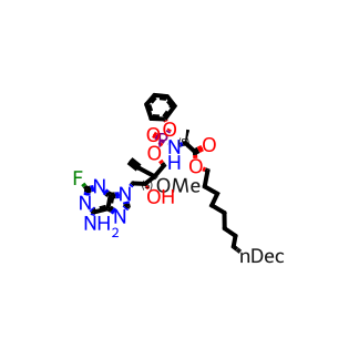 C#CC(COP(=O)(N[C@@H](C)C(=O)OCCCCCCCCCCCCCCCCCC)Oc1ccccc1)(OC)[C@@H](O)Cn1cnc2c(N)nc(F)nc21